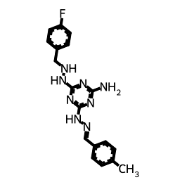 Cc1ccc(C=NNc2nc(N)nc(NNCc3ccc(F)cc3)n2)cc1